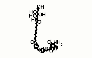 Nc1c(Cl)cc(C(=O)NCC2CCN(CC3CCN(C(=O)CCCCCCCCCCC(=O)NCC(O)C(O)C(O)CCO)CC3)CC2)c2c1CCO2